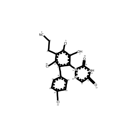 N#CCCc1c(Cl)c(O)c(-n2ncc(=O)[nH]c2=O)c(-c2ccc(Cl)cc2)c1Cl